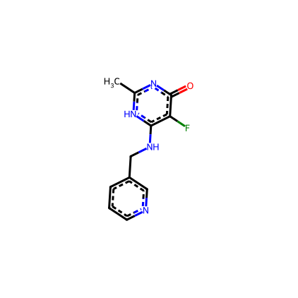 Cc1nc(=O)c(F)c(NCc2cccnc2)[nH]1